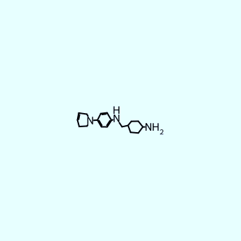 NC1CCC(CNc2ccc(N3CC=CCC3)cc2)CC1